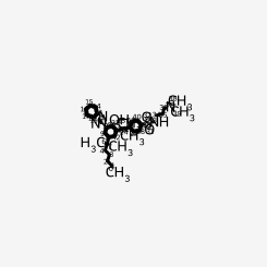 CCCCCC(C)(C)c1cc(-n2nc3ccccc3n2)c(O)c(C(C)(C)c2ccc(S(=O)(=O)NCCCN(C)C)cc2)c1